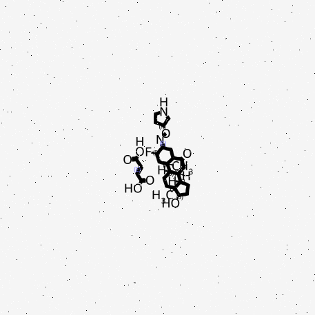 C[C@]12CC[C@H]3[C@@H](CC(=O)C4C/C(=N\O[C@@H]5CCNC5)[C@H](F)C[C@@]43C)[C@@H]1CC[C@@H]2O.O=C(O)/C=C/C(=O)O